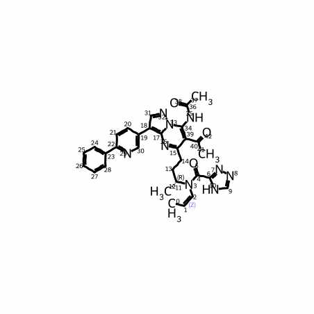 C/C=C\N(C(=O)c1nnc[nH]1)[C@H](C)CCc1nc2c(-c3ccc(-c4ccccc4)nc3)cnn2c(NC(C)=O)c1C(C)=O